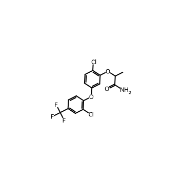 CC(Oc1cc(Oc2ccc(C(F)(F)F)cc2Cl)ccc1Cl)C(N)=O